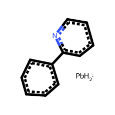 [PbH2].c1ccc(-c2ccccn2)cc1